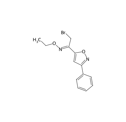 CCON=C(CBr)c1cc(-c2ccccc2)no1